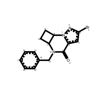 O=C1c2cc(Br)nn2C2CCC2N1Cc1ccccc1